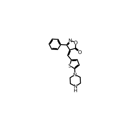 O=C1ON=C(c2ccccc2)C1=Cc1ccc(N2CCNCC2)s1